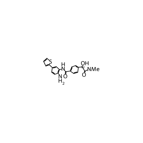 CNC(=O)[C@@H](O)c1ccc(C(=O)Nc2cc(-c3cccs3)ccc2N)cc1